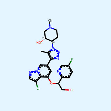 Cc1c(-c2cc(OC(CO)c3ccc(F)cn3)c3c(Cl)cnn3c2)nnn1[C@@H]1CCN(C#N)C[C@H]1O